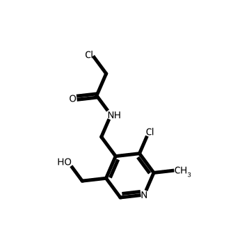 Cc1ncc(CO)c(CNC(=O)CCl)c1Cl